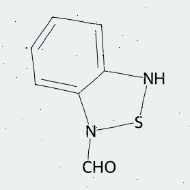 O=CN1SNc2cc[c]cc21